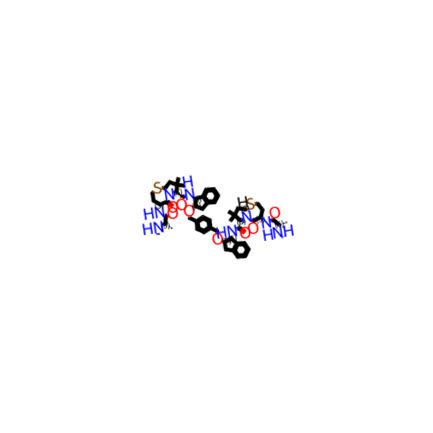 CN[C@@H](C)C(=O)N[C@H]1CCSC2CC(C)(C)[C@@H](C(=O)N[C@H]3c4ccccc4C[C@H]3OCc3ccc(CO[C@@H]4Cc5ccccc5[C@@H]4NC(=O)[C@H]4N5C(=O)[C@@H](NC(=O)[C@H](C)NC)CCS[C@H]5CC4(C)C)cc3)N2C1=O